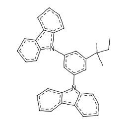 CCC(C)(C)c1cc(-n2c3ccccc3c3ccccc32)cc(-n2c3ccccc3c3ccccc32)c1